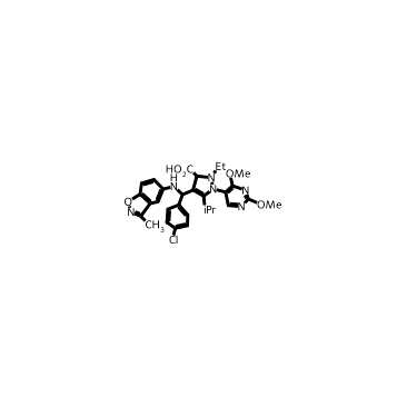 CCN1C(C(=O)O)C(C(Nc2ccc3onc(C)c3c2)c2ccc(Cl)cc2)=C(C(C)C)N1c1cnc(OC)nc1OC